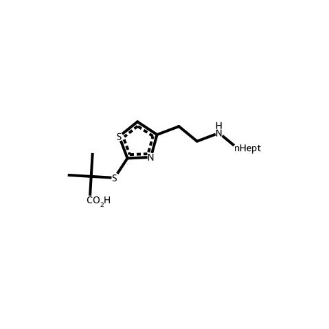 CCCCCCCNCCc1csc(SC(C)(C)C(=O)O)n1